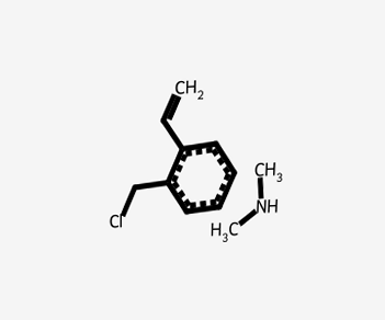 C=Cc1ccccc1CCl.CNC